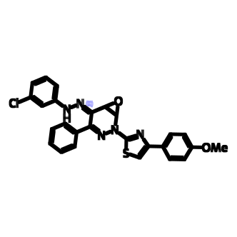 COc1ccc(-c2csc(N3N=C(c4ccccc4)/C(=N\Nc4cccc(Cl)c4)C4OC43)n2)cc1